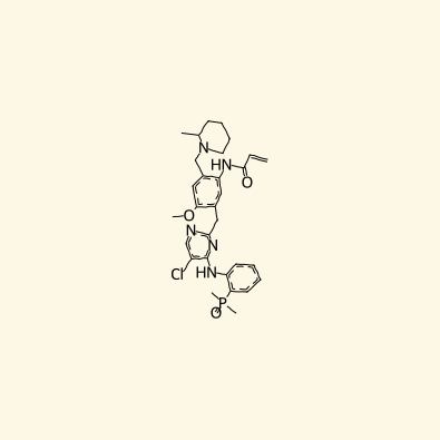 C=CC(=O)Nc1cc(Cc2ncc(Cl)c(Nc3ccccc3P(C)(C)=O)n2)c(OC)cc1CN1CCCCC1C